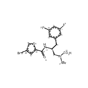 CC(C)(C)N(C[C@H](Cc1cc(F)cc(F)c1)NC(=O)c1cc(Br)cs1)C(=O)O